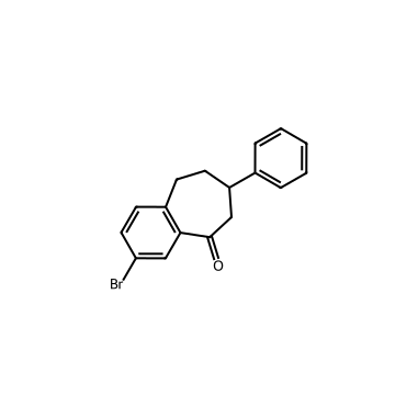 O=C1CC(c2ccccc2)CCc2ccc(Br)cc21